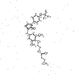 CCCC(=O)OCCOc1c(C)cc(Cn2ncn(-c3ccc(OC(F)(F)F)cc3)c2=O)cc1C